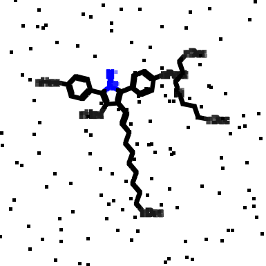 CCCCCCCCCCCCCCCCCCC=CC1=C(c2ccc(CCCCC)cc2)[N+](=[N-])C(c2ccc(CCCCCC)cc2)=C1CCCCCC.CCCCCCCCCCCC[CH2][Ni][CH2]CCCCCCCCCCCC